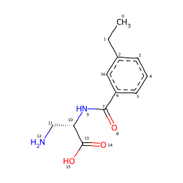 CCc1cccc(C(=O)N[C@@H](CN)C(=O)O)c1